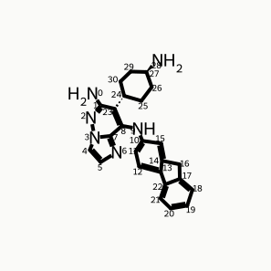 Nc1nn2ccnc2c(Nc2ccc3c(c2)Cc2ccccc2-3)c1[C@H]1CC[C@H](N)CC1